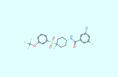 O=C(N[C@H]1CC[C@@](F)(S(=O)(=O)c2cccc(OC(F)(F)F)c2)CC1)c1cc(F)cc(Cl)c1